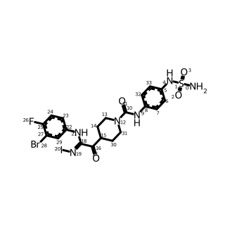 NS(=O)(=O)Nc1ccc(NC(=O)N2CCC(C(=O)/C(=N/I)Nc3ccc(F)c(Br)c3)CC2)cc1